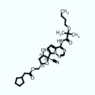 CCCCOC(C)(C)C(=O)Nc1ncnn2c([C@]3(C#N)O[C@@H](COC(=O)CC4CCCC4)[CH][C@H]3O)ccc12